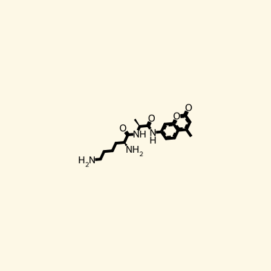 Cc1cc(=O)oc2cc(NC(=O)[C@H](C)NC(=O)[C@@H](N)CCCCN)ccc12